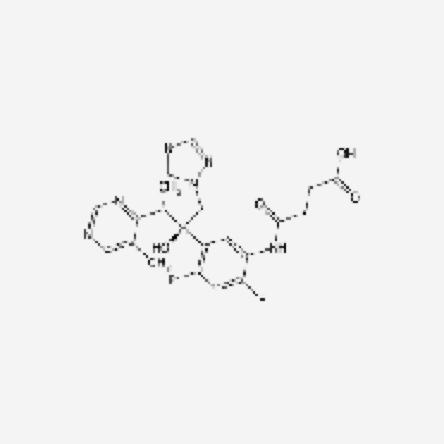 Cc1cncnc1[C@H](C)[C@](O)(Cn1cncn1)c1cc(NC(=O)CCC(=O)O)c(F)cc1F